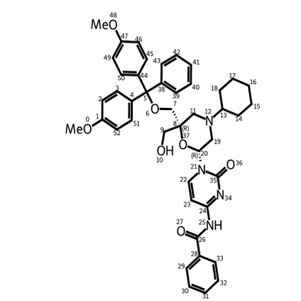 COc1ccc(C(OC[C@]2(CO)CN(C3CCCCC3)C[C@H](n3ccc(NC(=O)c4ccccc4)nc3=O)O2)(c2ccccc2)c2ccc(OC)cc2)cc1